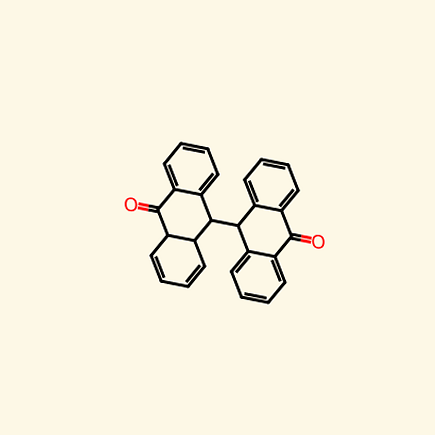 O=C1c2ccccc2C(C2c3ccccc3C(=O)C3C=CC=CC32)c2ccccc21